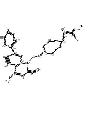 Cc1cc(=O)n(CCN2CCC(NC(=O)O)CC2)c2cc(-c3ccccc3)ccc12